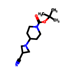 CC(C)(C)OC(=O)N1CCC(N2CC(C#N)C2)CC1